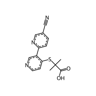 CC(C)(Sc1ccncc1-c1ccc(C#N)cn1)C(=O)O